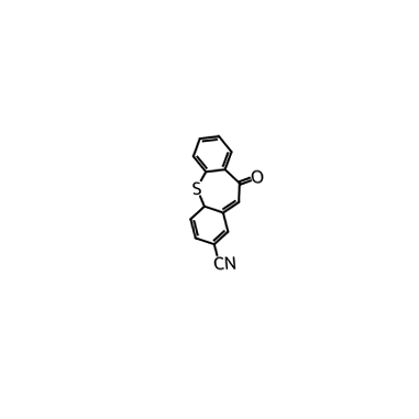 N#CC1=CC2=CC(=O)c3ccccc3SC2C=C1